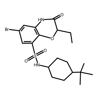 CCC1Oc2c(cc(Br)cc2S(=O)(=O)NC2CCC(C(C)(C)C)CC2)NC1=O